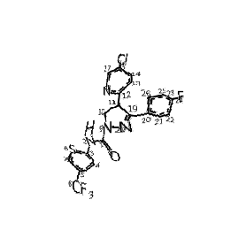 O=C(Nc1cc(C(F)(F)F)cs1)N1CC(c2ccc(Cl)cn2)C(c2ccc(F)cc2)=N1